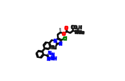 CCCCc1nc(Cl)c(C[C@H](C)OC(=O)CC(NC)C(=O)O)n1Cc1ccc(-c2ccccc2-c2nn[nH]n2)cc1